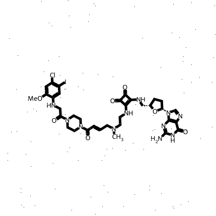 COc1cc(Cl)c(I)cc1NCC(=O)N1CCN(C(=O)/C=C/CN(C)CCNc2c(NC[C@@H]3CC[C@H](n4cnc5c(=O)[nH]c(N)nc54)O3)c(=O)c2=O)CC1